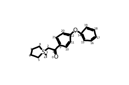 O=C(CS1(I)CCCC1)c1ccc(Oc2ccccc2)cc1